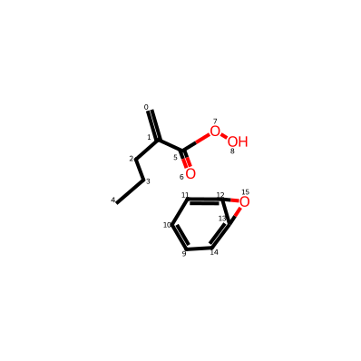 C=C(CCC)C(=O)OO.c1ccc2c(c1)O2